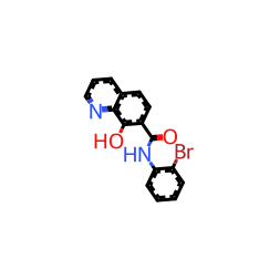 O=C(Nc1ccccc1Br)c1ccc2cccnc2c1O